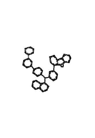 c1ccc(-c2cccc(-c3ccc(C(c4cccc(-c5cccc6c5oc5ccccc56)c4)c4cccc5ccccc45)cc3)c2)cc1